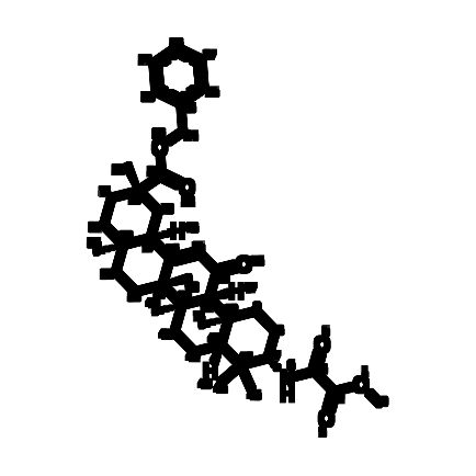 COC(=O)C(=O)N[C@H]1CC[C@]2(C)[C@H]3C(=O)C=C4[C@@H]5C[C@@](C)(C(=O)OCc6ccccc6)CC[C@]5(C)CC[C@@]4(C)[C@]3(C)CC[C@H]2C1(C)C